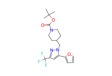 CC(C)(C)OC(=O)N1CCC(Cn2nc(C(F)(F)F)cc2-c2ccco2)CC1